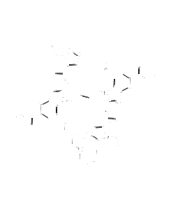 CCn1nc(C)cc1C(=O)Nc1nc2cc(C(=O)OC)cc(OCCCN3CCOCC3)c2n1C/C=C/Cn1c(NC(=O)c2cc(C)nn2CC)nc2cc(C(=O)OC)cc(SC)c21